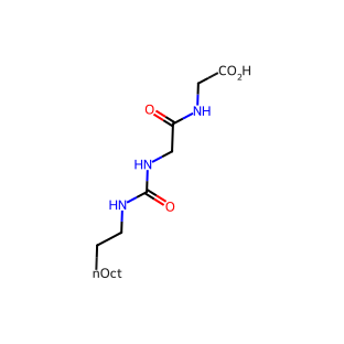 CCCCCCCCCCNC(=O)NCC(=O)NCC(=O)O